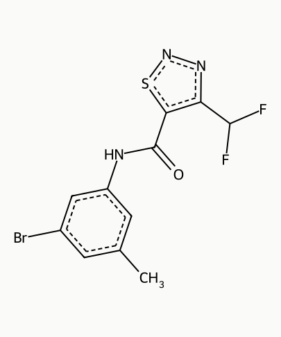 Cc1cc(Br)cc(NC(=O)c2snnc2C(F)F)c1